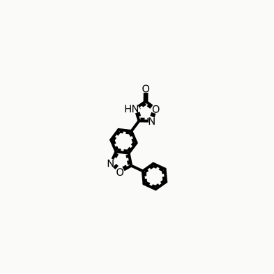 O=c1[nH]c(-c2ccc3noc(-c4ccccc4)c3c2)no1